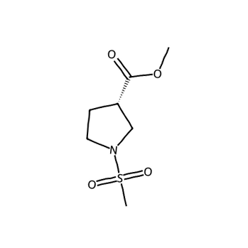 COC(=O)[C@H]1CCN(S(C)(=O)=O)C1